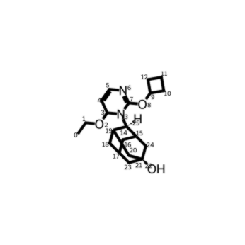 CCOC1C=CN=C(OC2CCC2)N1[C@H]1C2CC3CC1C[C@@](O)(C3)C2